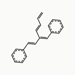 C=C/C=C/C(C=Cc1ccccc1)=C\c1ccccc1